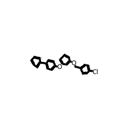 Clc1ccc(COc2cccc(Oc3ccc(-c4[c]cccc4)cc3)c2)cc1